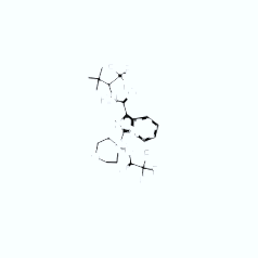 CC(C)(C)C(NC(=O)c1nc([N+]2(OC(=O)C(F)(F)F)CCOCC2)n2ccccc12)C(F)(F)F